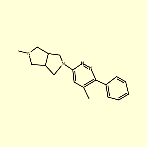 Cc1cc(N2CC3CN(C)CC3C2)nnc1-c1ccccc1